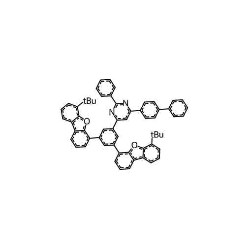 CC(C)(C)c1cccc2c1oc1c(-c3cc(-c4cc(-c5ccc(-c6ccccc6)cc5)nc(-c5ccccc5)n4)cc(-c4cccc5c4oc4c(C(C)(C)C)cccc45)c3)cccc12